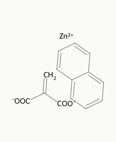 C=C(C(=O)[O-])C(=O)[O-].[Zn+2].c1ccc2ccccc2c1